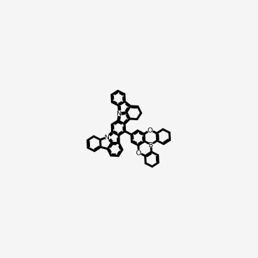 C1=CCC2C(=C1)c1cccc3c4c(-c5cc6c7c(c5)OC5=C(C=CCC5)B7C5=C(CCC=C5)O6)c5c6c7c(c8ccccc8n7c5cc4n2c13)=CCC6